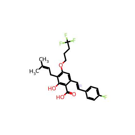 CC(C)=CCc1c(OCCCC(F)(F)F)cc(/C=C/c2ccc(F)cc2)c(C(=O)O)c1O